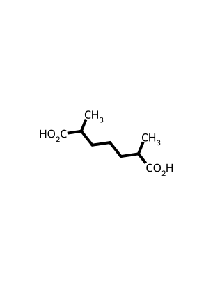 CC(CCCC(C)C(=O)O)C(=O)O